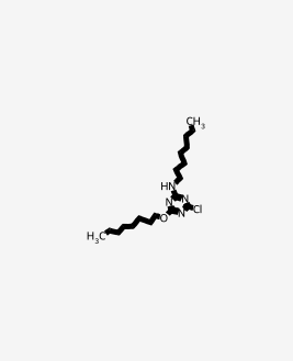 CCCCCCCCNc1nc(Cl)nc(OCCCCCCCC)n1